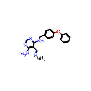 B/N=C/c1c(N)ncnc1NCc1ccc(Oc2ccccc2)cc1